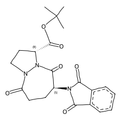 CC(C)(C)OC(=O)[C@H]1CCN2C(=O)CC[C@H](N3C(=O)c4ccccc4C3=O)C(=O)N12